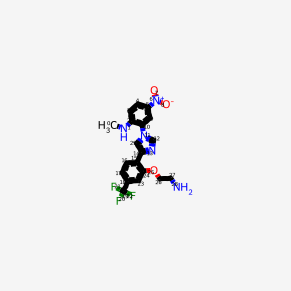 CNc1ccc([N+](=O)[O-])cc1-n1cnc(-c2ccc(C(F)(F)F)cc2OCCN)c1